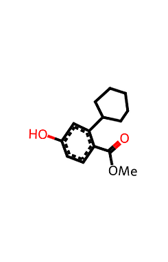 COC(=O)c1ccc(O)cc1C1CCCCC1